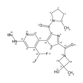 CC1CCCN1C(=O)c1nc(C(=O)N2CC(C)(O)C2)sc1-c1cnc(NC(C)(C)C)cc1C(F)F